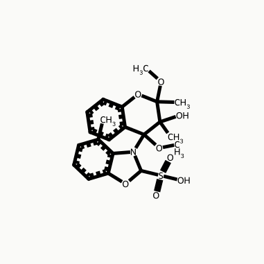 COC1(C)Oc2ccccc2C(OC)(N2c3c(C)cccc3OC2S(=O)(=O)O)C1(C)O